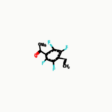 C=Cc1c(F)c(F)c(C(=O)OC)c(F)c1F